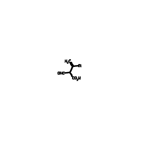 C=C(CC)C(C=O)C(=O)O